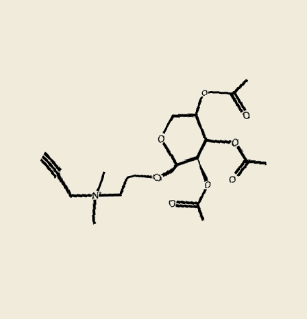 C#CC[N+](C)(C)CCOC1OCC(OC(C)=O)C(OC(C)=O)[C@H]1OC(C)=O